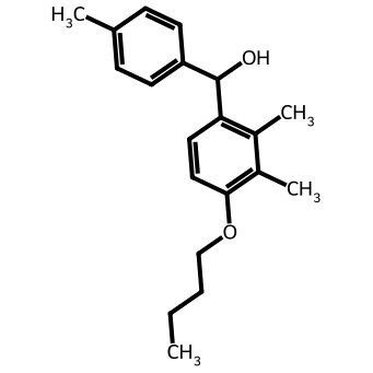 CCCCOc1ccc(C(O)c2ccc(C)cc2)c(C)c1C